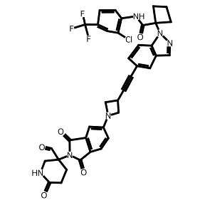 O=CC1(N2C(=O)c3ccc(N4CC(C#Cc5ccc6c(cnn6C6(C(=O)Nc7ccc(C(F)(F)F)cc7Cl)CCC6)c5)C4)cc3C2=O)CCC(=O)NC1